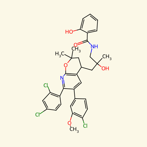 COc1cc(-c2cc3c(nc2-c2ccc(Cl)cc2Cl)OC(C)(C)CC3CC(C)(O)CNC(=O)c2ccccc2O)ccc1Cl